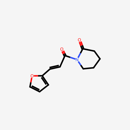 O=C(/C=C/c1ccco1)N1CCCCC1=O